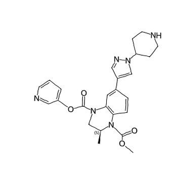 COC(=O)N1c2ccc(-c3cnn(C4CCNCC4)c3)cc2N(C(=O)Oc2cccnc2)C[C@@H]1C